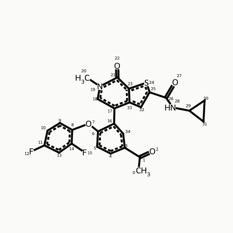 CC(=O)c1ccc(Oc2ccc(F)cc2F)c(-c2cn(C)c(=O)c3sc(C(=O)NC4CC4)cc23)c1